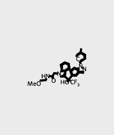 COCCNC(=O)Cn1cc(C(O)(c2ccc3c(cnn3-c3ccc(C)cc3)c2)C(F)(F)F)c2ccccc21